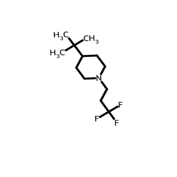 CC(C)(C)C1CCN(CCC(F)(F)F)CC1